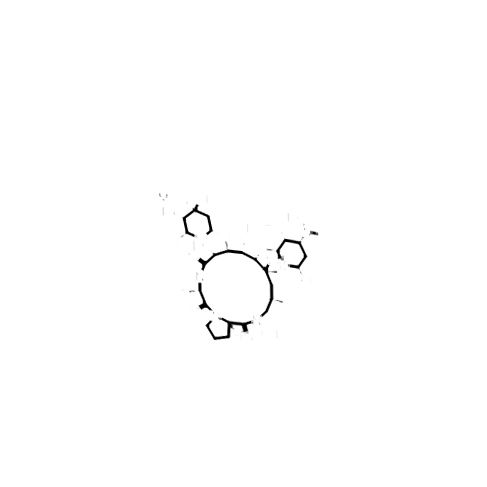 CO[C@]1(C)C[C@H](O[C@H]2[C@H](C)[C@@H](O[C@@H]3O[C@H](C)C[C@H](N(C)C)[C@H]3O)[C@](C)(O)C[C@@H](C)CN(C)C(=O)[C@@H]3CCCN3C(=O)[C@@H](C(C)C)NC(=O)[C@@H]2C)O[C@@H](C)[C@@H]1O